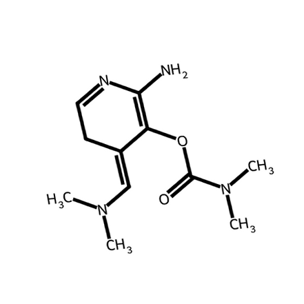 CN(C)C=C1CC=NC(N)=C1OC(=O)N(C)C